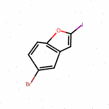 Brc1ccc2oc(I)cc2c1